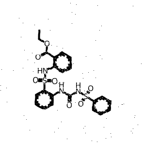 CCOC(=O)c1ccccc1NS(=O)(=O)c1ccccc1NC(=O)NS(=O)(=O)c1ccccc1